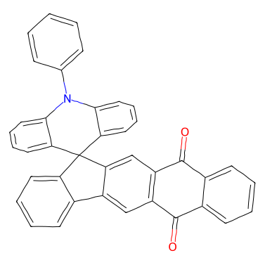 O=C1c2ccccc2C(=O)c2cc3c(cc21)-c1ccccc1C31c2ccccc2N(c2ccccc2)c2ccccc21